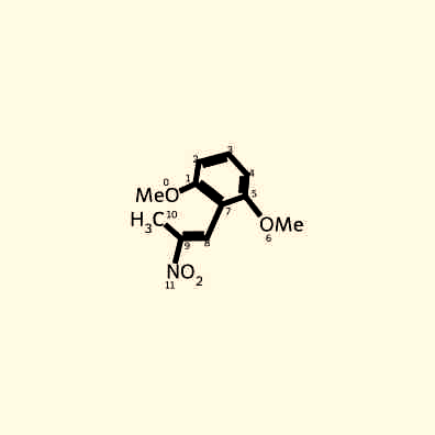 COc1cccc(OC)c1C=C(C)[N+](=O)[O-]